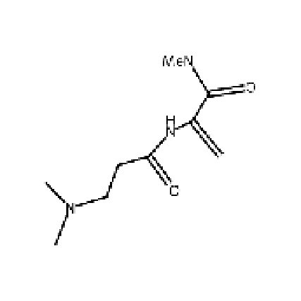 C=C(NC(=O)CCN(C)C)C(=O)NC